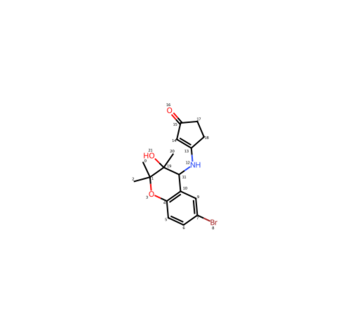 CC1(C)Oc2ccc(Br)cc2C(NC2=CC(=O)CC2)C1(C)O